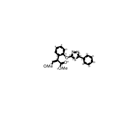 COC=C(C(=O)OC)c1ccccc1Oc1nnc(-c2ccccc2)s1